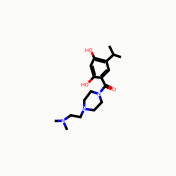 CC(C)c1cc(C(=O)N2CCN(CCN(C)C)CC2)c(O)cc1O